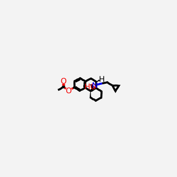 CC(=O)Oc1ccc2c(c1)[C@@]13CCCC[C@@]1(O)[C@@H](C2)N(CC1CC1)CC3